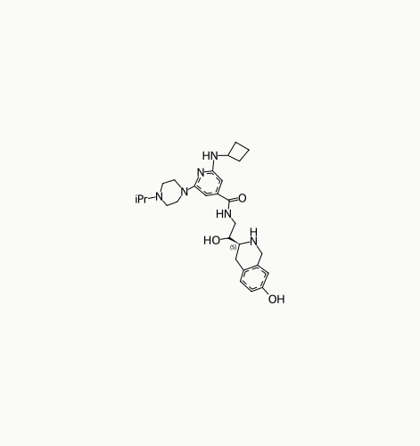 CC(C)N1CCN(c2cc(C(=O)NCC(O)[C@@H]3Cc4ccc(O)cc4CN3)cc(NC3CCC3)n2)CC1